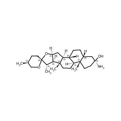 C[C@H]1CC[C@@]2(OC1)O[C@H]1C[C@H]3[C@@H]4CC[C@@H]5C[C@@](N)(O)CC[C@]5(C)[C@H]4CC[C@]3(C)[C@H]1[C@@H]2C